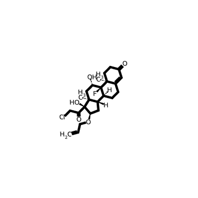 C=CCO[C@@H]1C[C@H]2[C@@H]3CCC4=CC(=O)CC[C@]4(C)[C@@]3(F)[C@@H](O)C[C@]2(C)[C@@]1(O)C(=O)CCl